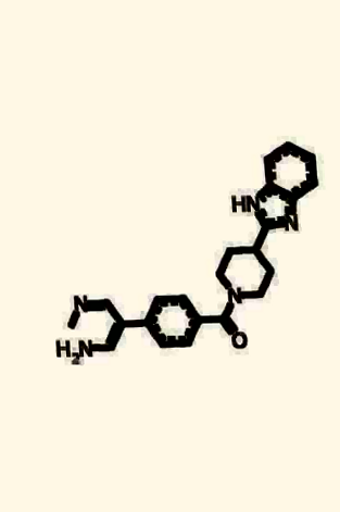 C/N=C\C(=C/N)c1ccc(C(=O)N2CCC(c3nc4ccccc4[nH]3)CC2)cc1